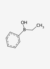 CCB(O)c1ccccc1